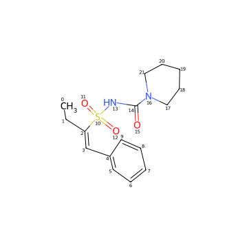 CCC(=Cc1ccccc1)S(=O)(=O)NC(=O)N1CCCCC1